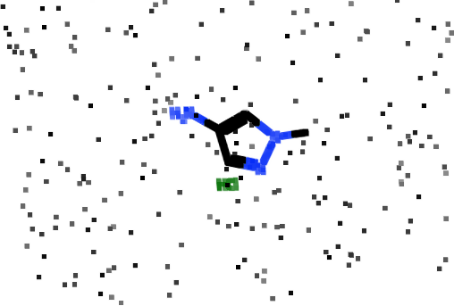 Cl.Cn1cc(N)cn1